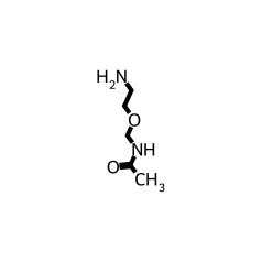 CC(=O)NCOCCN